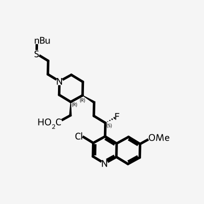 CCCCSCCN1CC[C@@H](CC[C@H](F)c2c(Cl)cnc3ccc(OC)cc23)[C@@H](CC(=O)O)C1